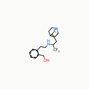 OCc1ccccc1CCNC(CC1CN2CCC1CC2)C(F)(F)F